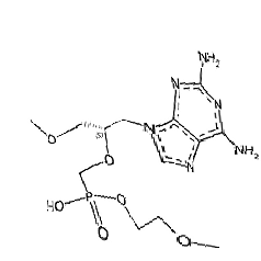 COCCOP(=O)(O)CO[C@H](COC)Cn1cnc2c(N)nc(N)nc21